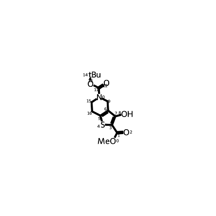 COC(=O)c1sc2c(c1O)CN(C(=O)OC(C)(C)C)CC2